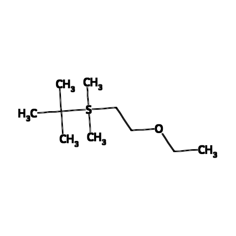 CCOCCS(C)(C)C(C)(C)C